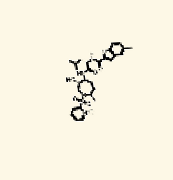 CC(C)C[C@H](NC(=O)c1cc2cc(F)ccc2o1)C(=O)N[C@H]1CC[C@@H](C)N(S(=O)(=O)c2cccc[n+]2[O-])C[C@@H]1O